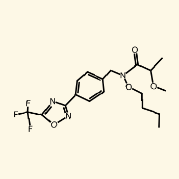 CCCCON(Cc1ccc(-c2noc(C(F)(F)F)n2)cc1)C(=O)C(C)OC